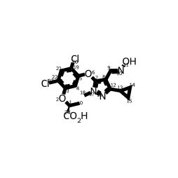 C[C@H](Oc1cc(Oc2c(/C=N/O)c(C3CC3)nn2C)c(Cl)cc1Cl)C(=O)O